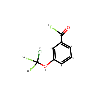 O=C(F)c1cccc(OC(F)(F)Cl)c1